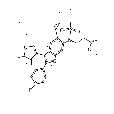 CC1NC(c2c(-c3ccc(F)cc3)oc3cc(N(CC[S+](C)[O-])S(C)(=O)=O)c(C4CC4)cc23)=NO1